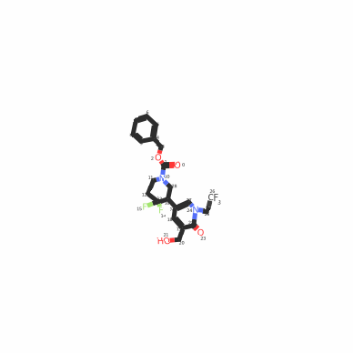 O=C(OCc1ccccc1)N1CCC(F)(F)C(c2cc(CO)c(=O)n(CC(F)(F)F)c2)C1